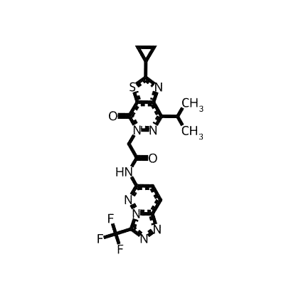 CC(C)c1nn(CC(=O)Nc2ccc3nnc(C(F)(F)F)n3n2)c(=O)c2sc(C3CC3)nc12